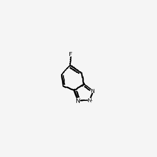 Fc1ccc2c(c1)=N[N]N=2